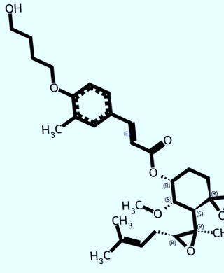 CO[C@@H]1[C@H](OC(=O)/C=C/c2ccc(OCCCCO)c(C)c2)CC[C@]2(CO2)[C@H]1[C@@]1(C)O[C@@H]1CC=C(C)C